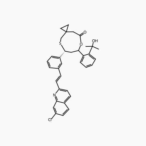 CC(C)(O)c1ccccc1C1C[C@H](c2cccc(/C=C/c3ccc4ccc(Cl)cc4n3)c2)SCC2(CC2)CC(=O)O1